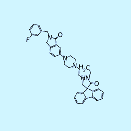 CCNC(=O)C1(CCCCN2CCN(c3ccc4c(c3)C(=O)N(Cc3cccc(F)c3)C4)CC2)c2ccccc2-c2ccccc21